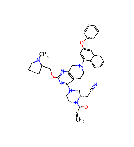 C=CC(=O)N1CCN(c2nc(OCC3CCCN3C)nc3c2CCN(c2cc(Oc4ccccc4)cc4ccccc24)C3)CC1CC#N